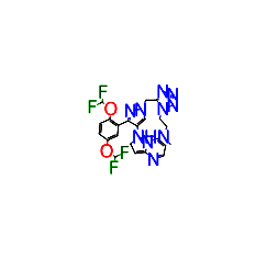 CNCCn1nnnc1Cn1cc(N2CC=C3N=CC=CN32)c(-c2cc(OC(F)F)ccc2OC(F)F)n1